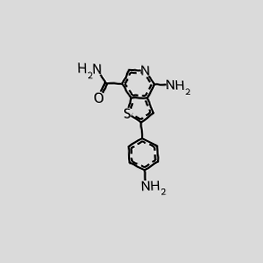 NC(=O)c1cnc(N)c2cc(-c3ccc(N)cc3)sc12